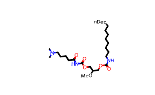 CCCCCCCCCCCCCCCCCCNC(=O)OCC(COC(=O)NC(=O)CCCCN(C)C)OC